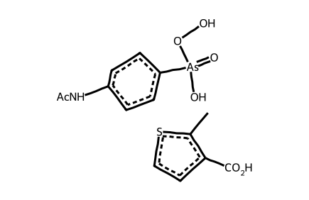 CC(=O)Nc1ccc([As](=O)(O)OO)cc1.Cc1sccc1C(=O)O